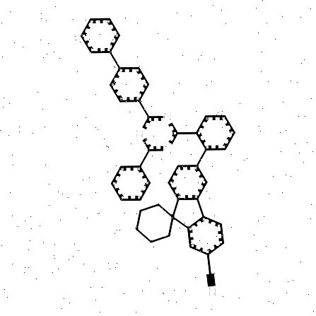 N#Cc1ccc2c(c1)C1(CCCCC1)c1ccc(-c3ccccc3-c3nc(-c4ccccc4)nc(-c4ccc(-c5ccccc5)cc4)n3)cc1-2